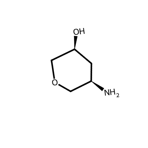 N[C@H]1COC[C@@H](O)C1